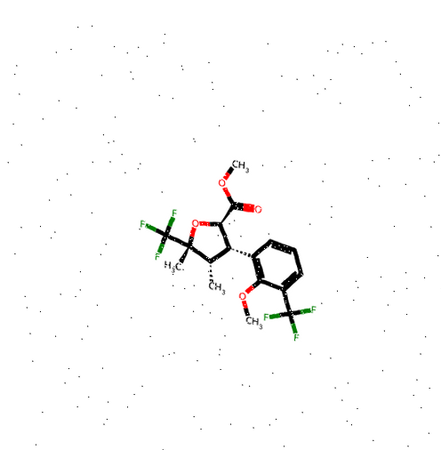 COC(=O)[C@@H]1O[C@@](C)(C(F)(F)F)[C@@H](C)[C@H]1c1cccc(C(F)(F)F)c1OC